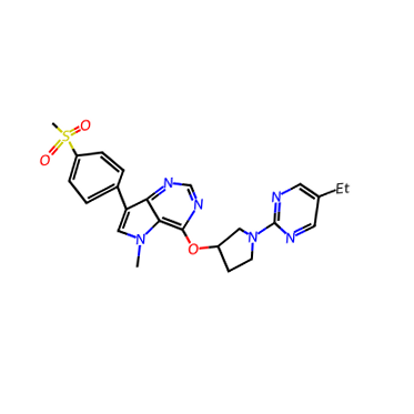 CCc1cnc(N2CCC(Oc3ncnc4c(-c5ccc(S(C)(=O)=O)cc5)cn(C)c34)C2)nc1